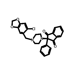 O=C1c2ccccc2C(=O)C1(c1ccccc1)N1CCN(Cc2cc3c(cc2Cl)OCO3)CC1